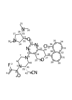 C=C(F)C(=O)N1CCN(c2nc(O[C@H]3CN(C)C[C@@H]3N(C)C)nc3c2COC(c2cccc4cccc(Cl)c24)C3)C[C@@H]1CC#N